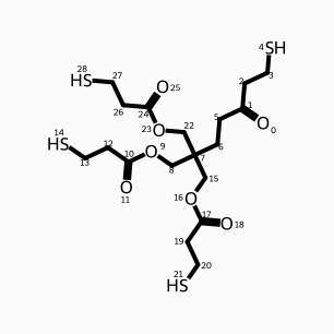 O=C(CCS)CCC(COC(=O)CCS)(COC(=O)CCS)COC(=O)CCS